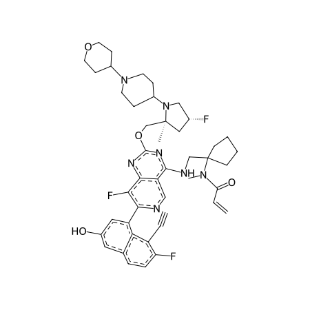 C#Cc1c(F)ccc2cc(O)cc(-c3ncc4c(NCC5(N(C)C(=O)C=C)CCCC5)nc(OC[C@]5(C)C[C@@H](F)CN5C5CCN(C6CCOCC6)CC5)nc4c3F)c12